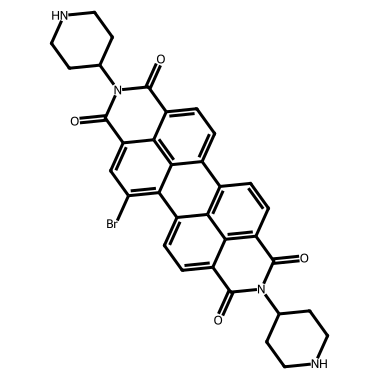 O=C1c2ccc3c4ccc5c6c(cc(Br)c(c7ccc(c2c37)C(=O)N1C1CCNCC1)c64)C(=O)N(C1CCNCC1)C5=O